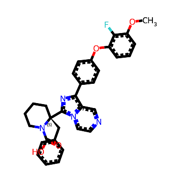 COc1cccc(Oc2ccc(-c3nc([C@@]4(Cc5ccccc5)CCCCN4C(=O)O)n4ccncc34)cc2)c1F